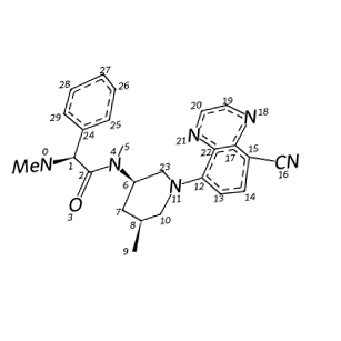 CN[C@H](C(=O)N(C)[C@@H]1C[C@H](C)CN(c2ccc(C#N)c3nccnc23)C1)c1ccccc1